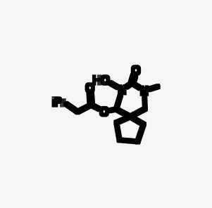 CC(C)CC(=O)OC1N(O)C(=O)N(C)CC12CCCC2